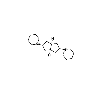 C[N+]1(C2C[C@H]3CC([N+]4(C)CCCCC4)C[C@H]3C2)CCCCC1